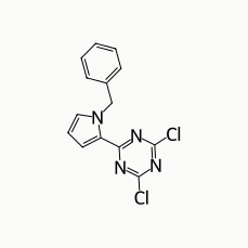 Clc1nc(Cl)nc(-c2cccn2Cc2ccccc2)n1